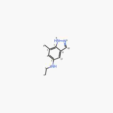 CCNc1cc(C)c2[nH]ncc2c1